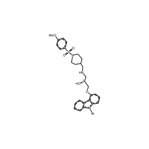 COc1ccc(S(=O)(=O)N2CCC(CNC[C@H](O)COc3cccc4c3c3ccccc3n4Br)CC2)cc1